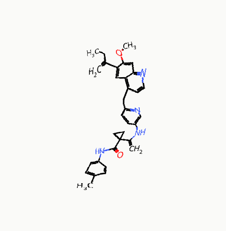 C=C(CC)c1cc2c(Cc3ccc(NC(=C)C4(C(=O)Nc5ccc(C)cc5)CC4)cn3)ccnc2cc1OC